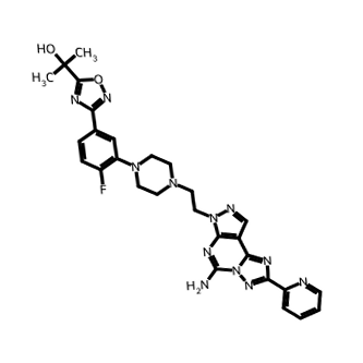 CC(C)(O)c1nc(-c2ccc(F)c(N3CCN(CCn4ncc5c4nc(N)n4nc(-c6ccccn6)nc54)CC3)c2)no1